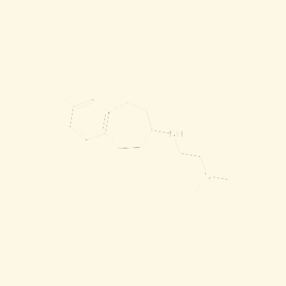 Cc1ccc2c(c1)CCC(NCCN(C)C)CC2